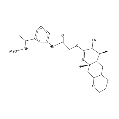 CONC(C)c1cccc(NC(=O)CSC2=N[C@H]3CC4OCCOC4CC3[C@H](C)C2C#N)c1